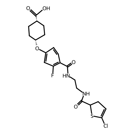 O=C(NCCNC(=O)C1CC=C(Cl)S1)c1ccc(O[C@H]2CC[C@@H](C(=O)O)CC2)cc1F